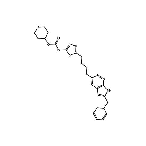 O=C(Nc1nnc(CCCCc2cc3cc(Cc4ccccc4)[nH]c3nn2)s1)OC1CCOCC1